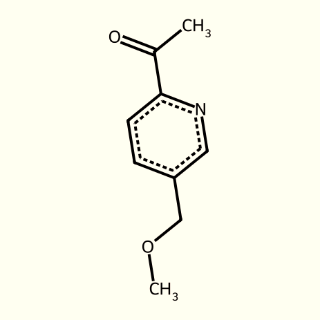 COCc1ccc(C(C)=O)nc1